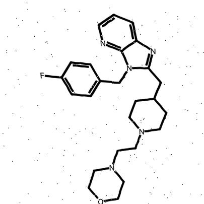 Fc1ccc(Cn2c(CC3CCN(CCN4CCOCC4)CC3)nc3cccnc32)cc1